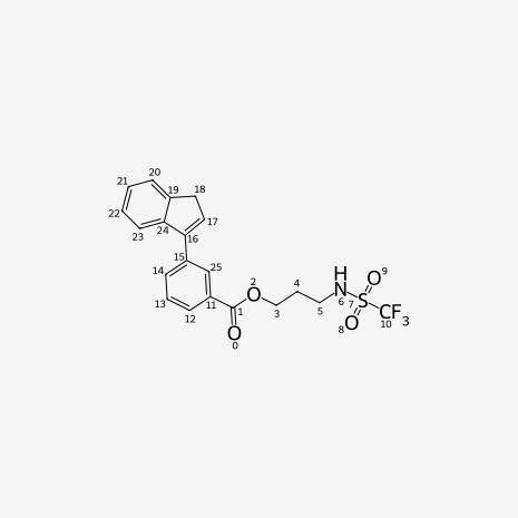 O=C(OCCCNS(=O)(=O)C(F)(F)F)c1cccc(C2=CCc3ccccc32)c1